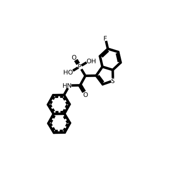 O=C(Nc1ccc2ccccc2c1)C(C1=CSC2C=CC(F)=CC12)P(=O)(O)O